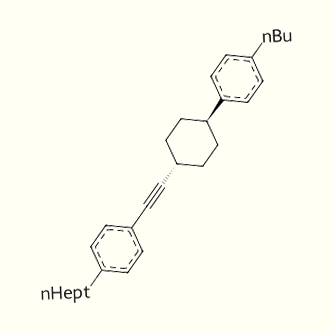 CCCCCCCc1ccc(C#C[C@H]2CC[C@H](c3ccc(CCCC)cc3)CC2)cc1